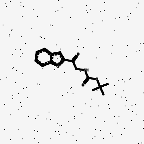 CC(C)(C)OC(=O)NCC(=O)c1cc2ccccc2s1